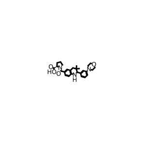 CC1(C)Cc2cc(C(=O)N3CCC[C@@H]3C(=O)O)ccc2NC1c1cccc(N2CCOCC2)c1